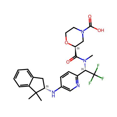 CN(C(=O)[C@@H]1CN(C(=O)O)CCO1)[C@@H](c1ccc(N[C@H]2Cc3ccccc3C2(C)C)cn1)C(F)(F)F